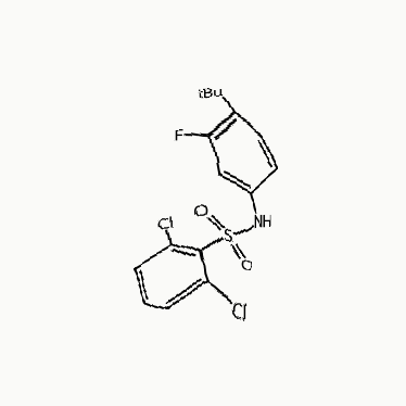 CC(C)(C)c1ccc(NS(=O)(=O)c2c(Cl)cccc2Cl)cc1F